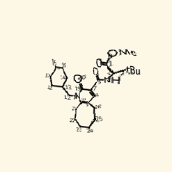 COC(=O)C(NC(=O)c1cc2c(n(CC3CCCCC3)c1=O)CCCCCC2)C(C)(C)C